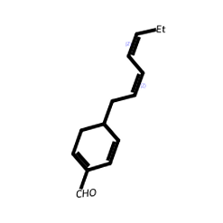 CC/C=C\C=C/CC1C=CC(C=O)=CC1